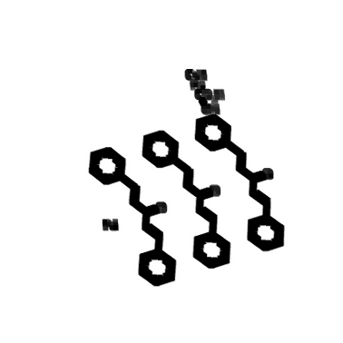 O=C(C=Cc1ccccc1)C=Cc1ccccc1.O=C(C=Cc1ccccc1)C=Cc1ccccc1.O=C(C=Cc1ccccc1)C=Cc1ccccc1.O=C(O)O.[CsH].[Pd].[Pd]